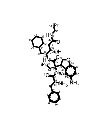 CC(=O)N(C(=O)[C@@H](N)Cc1ccccc1)[C@](CC(C)C)(C(=O)N[C@@H](CC1CCCCC1)[C@@H](O)CC(=O)NCC(C)C)C1COc2ccc(N)cc21